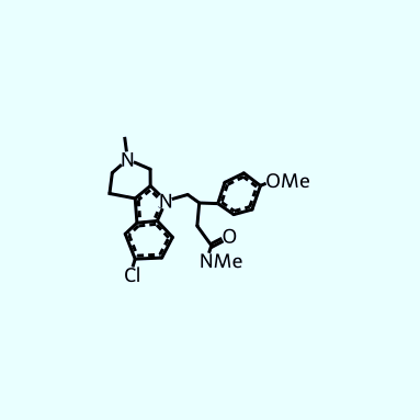 CNC(=O)CC(Cn1c2c(c3cc(Cl)ccc31)CCN(C)C2)c1ccc(OC)cc1